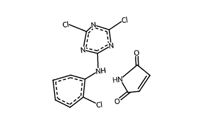 Clc1nc(Cl)nc(Nc2ccccc2Cl)n1.O=C1C=CC(=O)N1